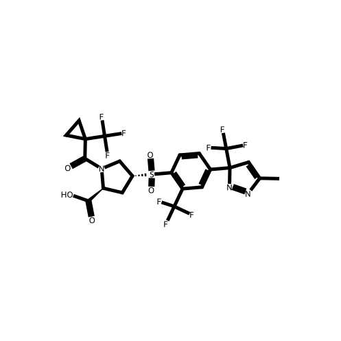 CC1=CC(c2ccc(S(=O)(=O)[C@@H]3C[C@@H](C(=O)O)N(C(=O)C4(C(F)(F)F)CC4)C3)c(C(F)(F)F)c2)(C(F)(F)F)N=N1